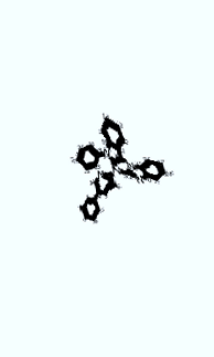 c1ccc(-c2ccc(-n3c4c(c5ccccc5n4-c4ccccc4)n4c5ccccc5nc34)nc2)cc1